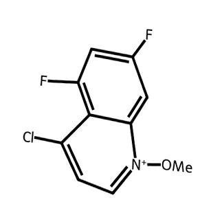 CO[n+]1ccc(Cl)c2c(F)cc(F)cc21